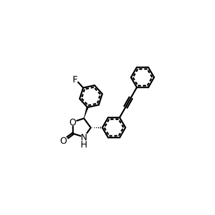 O=C1N[C@@H](c2cccc(C#Cc3ccccc3)c2)[C@H](c2cccc(F)c2)O1